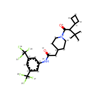 CC(C)(C)C(C(=O)N1CCC(CC(=O)Nc2cc(C(F)(F)F)cc(C(F)(F)F)c2)CC1)C1CCC1